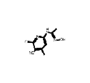 CC(=NO)Nc1cc(C)c(C#N)c(Cl)n1